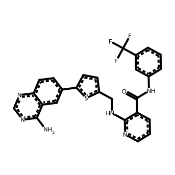 Nc1ncnc2ccc(-c3ccc(CNc4ncccc4C(=O)Nc4cccc(C(F)(F)F)c4)s3)cc12